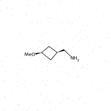 CO[C@H]1C[C@@H](CN)C1